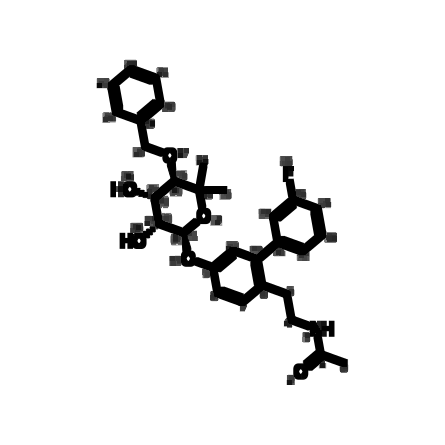 CC(=O)NCCc1ccc(O[C@@H]2OC(C)(C)[C@H](OCc3ccccc3)[C@@H](O)[C@H]2O)cc1-c1cccc(F)c1